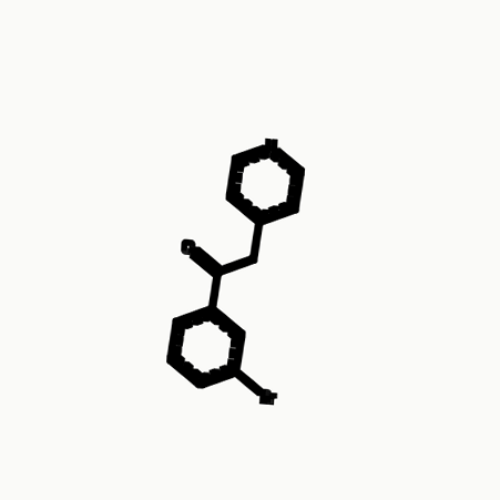 O=C(Cc1ccncc1)c1cccc(Br)c1